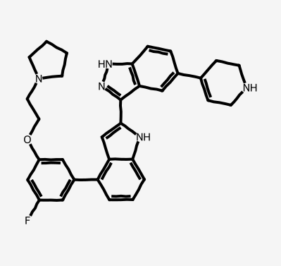 Fc1cc(OCCN2CCCC2)cc(-c2cccc3[nH]c(-c4n[nH]c5ccc(C6=CCNCC6)cc45)cc23)c1